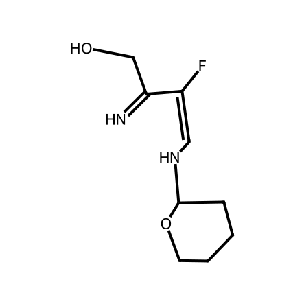 N=C(CO)/C(F)=C\NC1CCCCO1